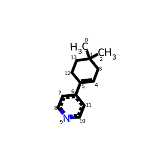 CC1(C)CC=C(c2ccncc2)CC1